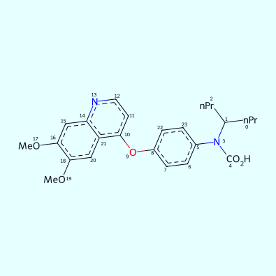 CCCC(CCC)N(C(=O)O)c1ccc(Oc2ccnc3cc(OC)c(OC)cc23)cc1